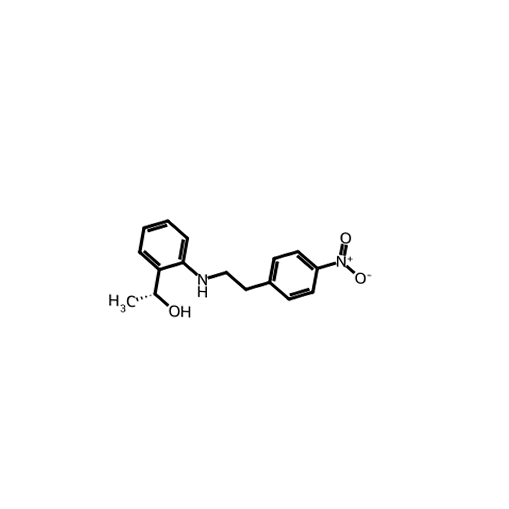 C[C@@H](O)c1ccccc1NCCc1ccc([N+](=O)[O-])cc1